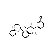 Cc1cccc([C@]2(CCNCc3cncc(Cl)c3)CCOC3(CCCC3)C2)c1